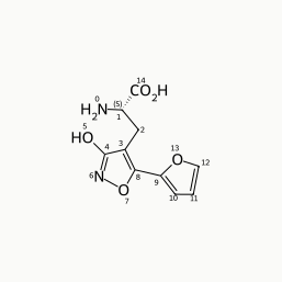 N[C@@H](Cc1c(O)noc1-c1ccco1)C(=O)O